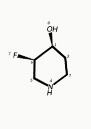 O[C@H]1CCNC[C@H]1F